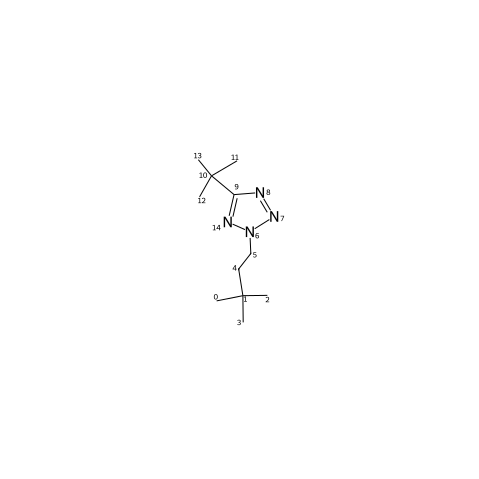 CC(C)(C)CCn1nnc(C(C)(C)C)n1